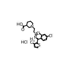 Cc1ccsc1/C(=N/OCCN1CCCC(C(=O)O)C1)c1ccc(Cl)cc1Cl.Cl